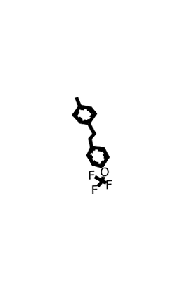 Cc1ccc(CCc2ccc(OC(F)(F)F)cc2)cc1